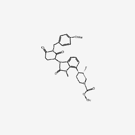 COc1ccc(CN2C(=O)CCC(n3c(=O)n(C)c4c([C@@H]5CCN(C(=O)OC(C)(C)C)C[C@H]5F)cccc43)C2=O)cc1